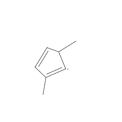 CC1=[C]C(C)C=C1